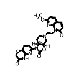 COc1ccc2ccc(=O)n(CCN3CC[C@@H]4[C@H](C3)OC(=O)N4c3ccc4c(n3)NC(=O)CO4)c2n1